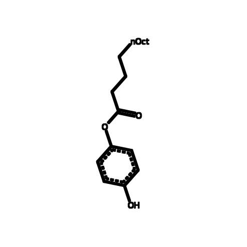 CCCCCCCCCCCC(=O)Oc1ccc(O)cc1